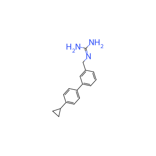 NC(N)=NCc1cccc(-c2ccc(C3CC3)cc2)c1